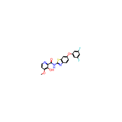 COc1ccnc(C(=O)Nc2nc3ccc(Oc4cc(F)cc(F)c4)cc3s2)c1O